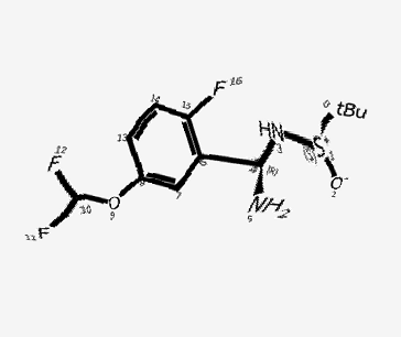 CC(C)(C)[S@@+]([O-])N[C@@H](N)c1cc(OC(F)F)ccc1F